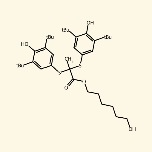 CC(Sc1cc(C(C)(C)C)c(O)c(C(C)(C)C)c1)(Sc1cc(C(C)(C)C)c(O)c(C(C)(C)C)c1)C(=O)OCCCCCCO